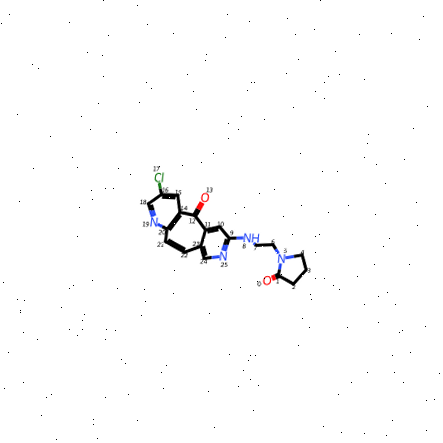 O=C1CCCN1CCNc1cc2c(=O)c3cc(Cl)cnc3ccc2cn1